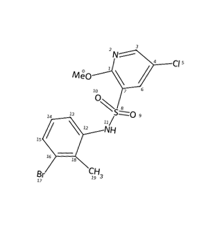 COc1ncc(Cl)cc1S(=O)(=O)Nc1cccc(Br)c1C